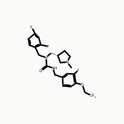 CN1CC[C@@H](CN(Cc2ccc(F)cc2F)C(=O)NCc2ccc(OCC(F)(F)F)c(F)c2)C1